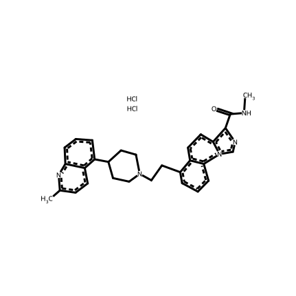 CNC(=O)c1ncn2c1ccc1c(CCN3CCC(c4cccc5nc(C)ccc45)CC3)cccc12.Cl.Cl